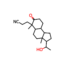 CC(O)C1CCC2C3CCC(=O)C(C)(CCC#N)C3CCC12C